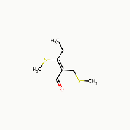 CCC(SC)=C(C=O)CSC